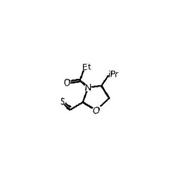 CCC(=O)N1C(C=S)OCC1C(C)C